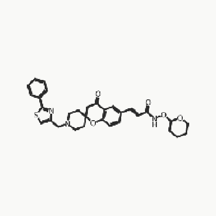 O=C(/C=C/c1ccc2c(c1)C(=O)CC1(CCN(Cc3csc(-c4ccccc4)n3)CC1)O2)NOC1CCCCO1